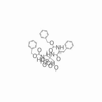 COC(=O)CC(NC(=O)[C@H](Cc1ccccc1)NC(=O)OCc1ccccc1)(C(C)NC(=O)OCc1ccccc1)P(=O)(O)O